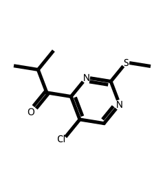 CSc1ncc(Cl)c(C(=O)C(C)C)n1